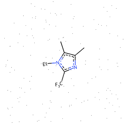 CCn1c(C(F)(F)F)nc(C)c1C